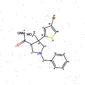 COC(=O)C1CN(Cc2ccccc2)CC1(C(=O)O)c1cc(Br)cs1